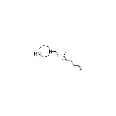 C=CCC/C=C(\C)CCN1CCCNCC1